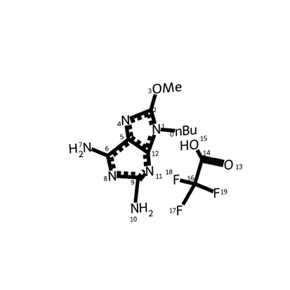 CCCCn1c(OC)nc2c(N)nc(N)nc21.O=C(O)C(F)(F)F